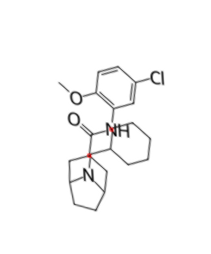 COc1ccc(Cl)cc1NC(=O)C1CC2CCC(C1)N2CC1CCCCC1